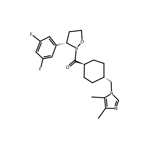 Cc1ncn(C[C@H]2CC[C@H](C(=O)N3OCC[C@H]3c3cc(F)cc(F)c3)CC2)c1C